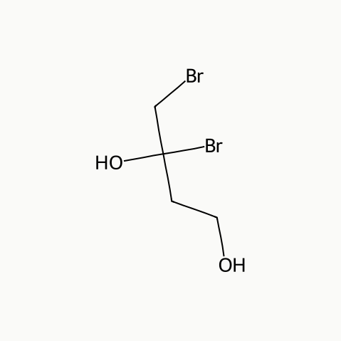 OCCC(O)(Br)CBr